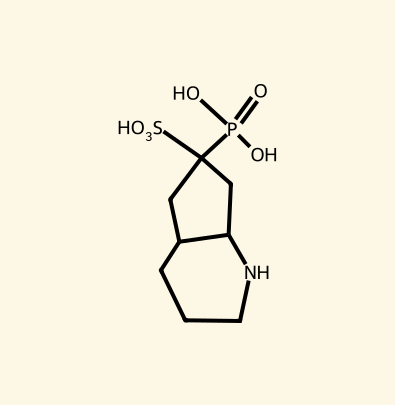 O=P(O)(O)C1(S(=O)(=O)O)CC2CCCNC2C1